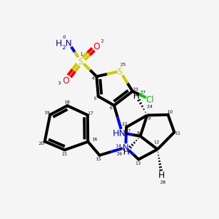 NS(=O)(=O)c1cc(N[C@H]2[C@@H]3CC[C@H]2CN(Cc2ccccc2)C3)c(Cl)s1